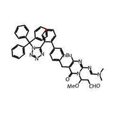 CCCCc1nc(N=CN(C)C)n(C(CC=O)OC)c(=O)c1Cc1ccc(-c2ccccc2-c2nnnn2C(c2ccccc2)(c2ccccc2)c2ccccc2)cc1